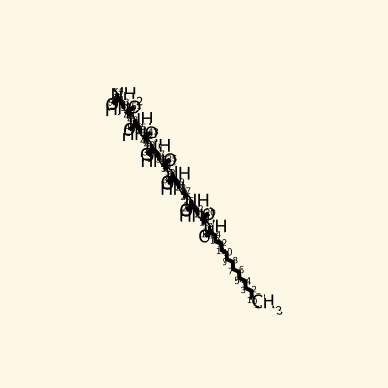 CCCCCCCCCCCCCCCC(=O)NCC(=O)NCC(=O)NCCNCC(=O)NCC(=O)NCC(=O)NCC(=O)NCC(=O)NCC(=O)NCC(N)=O